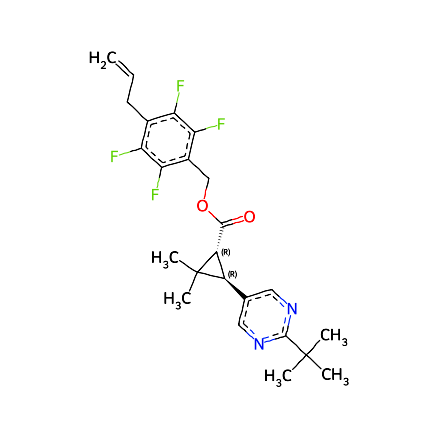 C=CCc1c(F)c(F)c(COC(=O)[C@@H]2[C@@H](c3cnc(C(C)(C)C)nc3)C2(C)C)c(F)c1F